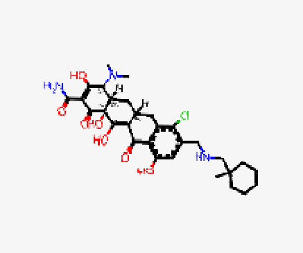 CN(C)[C@@H]1C(O)=C(C(N)=O)C(=O)[C@@]2(O)C(O)=C3C(=O)c4c(O)cc(CNCC5(C)CCCCC5)c(Cl)c4C[C@H]3C[C@@H]12